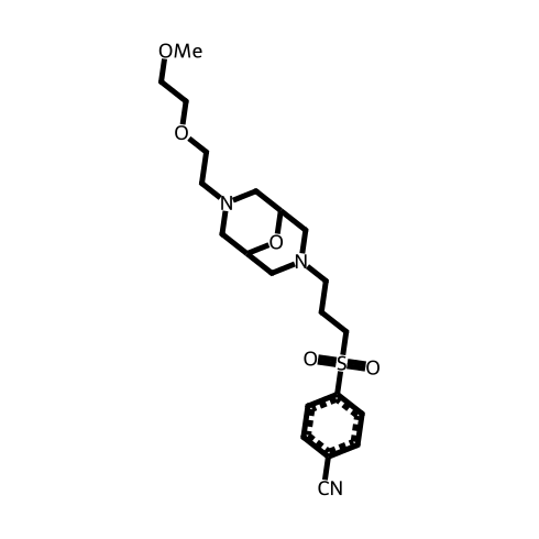 COCCOCCN1CC2CN(CCCS(=O)(=O)c3ccc(C#N)cc3)CC(C1)O2